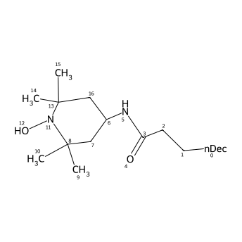 CCCCCCCCCCCCC(=O)NC1CC(C)(C)N(O)C(C)(C)C1